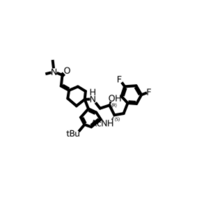 CC(=O)N[C@@H](Cc1cc(F)cc(F)c1)[C@H](O)CNC1(c2cccc(C(C)(C)C)c2)CCC(=CC(=O)N(C)C)CC1